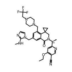 CCOc1cc([C@H](C)N2CC3(CC3)c3c(CN4CCN(CC(F)(F)F)CC4)cc(Cn4ccnc4NC)cc3C2=O)ncc1C#N